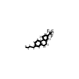 CCCCc1ccc2c(c1)CCc1cc(C(F)(F)F)ccc1-2